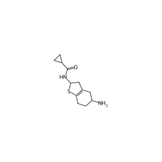 NC1CCC2=C(C1)CC(NC(=O)C1CC1)S2